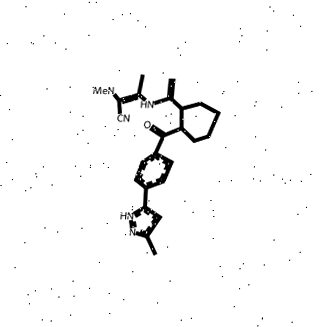 C=C(N/C(C)=C(\C#N)NC)C1CCCCC1C(=O)c1ccc(-c2cc(C)n[nH]2)cc1